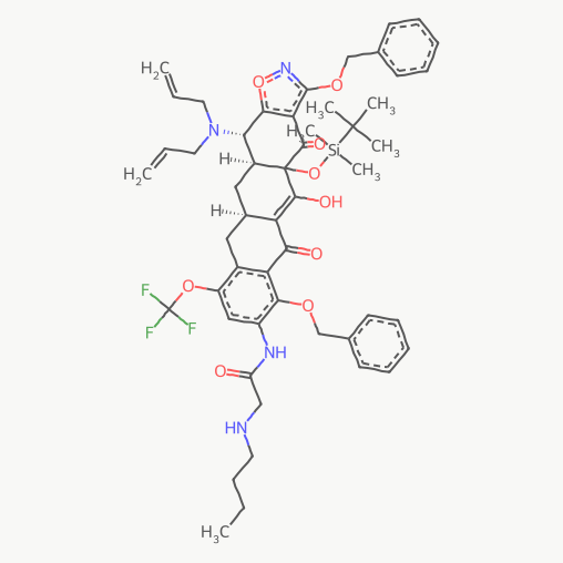 C=CCN(CC=C)[C@@H]1c2onc(OCc3ccccc3)c2C(=O)C2(O[Si](C)(C)C(C)(C)C)C(O)=C3C(=O)c4c(c(OC(F)(F)F)cc(NC(=O)CNCCCC)c4OCc4ccccc4)C[C@H]3C[C@@H]12